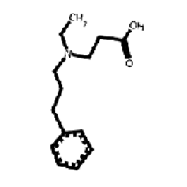 CCN(CCCc1ccccc1)CCC(=O)O